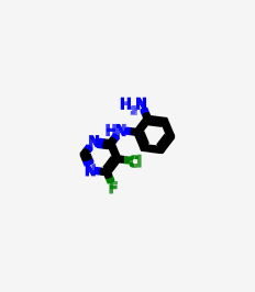 Nc1ccccc1Nc1ncnc(F)c1Cl